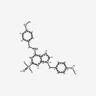 COc1ccc(CNc2nc(P(C)(C)=O)nc3c2ncn3Cc2ccc(OC)cc2)cc1